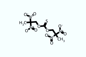 CC(COC(=S)OCC(C)([N+](=O)[O-])[N+](=O)[O-])([N+](=O)[O-])[N+](=O)[O-]